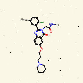 COc1ccc(F)c(-c2nc3ccc(OCCCN4CCCCC4)cc3c(=O)n2CC(=O)NC(C)C)c1